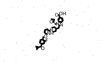 O=C(O)c1ccc2nc(CC3CCN(C4=CC=CC(OCc5ccc(C(=O)C6CC6)cc5F)N4)CC3)n(C[C@@H]3CCO3)c2c1